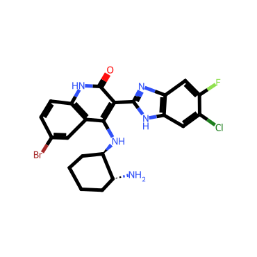 N[C@@H]1CCCC[C@H]1Nc1c(-c2nc3cc(F)c(Cl)cc3[nH]2)c(=O)[nH]c2ccc(Br)cc12